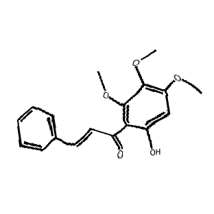 COc1cc(O)c(C(=O)/C=C/c2ccccc2)c(OC)c1OC